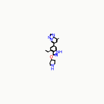 CCc1cc(-c2cc(C)c3ncnn3c2)cc2[nH]nc(OC3CCNCC3)c12